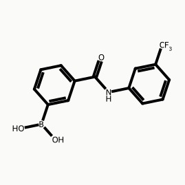 O=C(Nc1cccc(C(F)(F)F)c1)c1cccc(B(O)O)c1